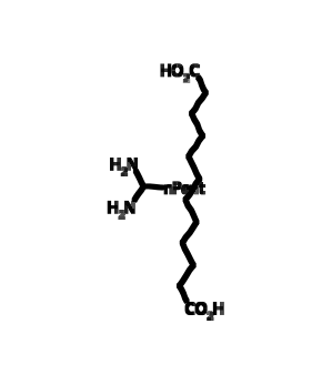 CCCCCC(N)N.O=C(O)CCCCCCCCCCC(=O)O